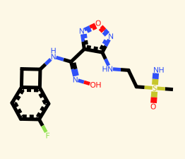 CS(=N)(=O)CCNc1nonc1C(=NO)NC1Cc2ccc(F)cc21